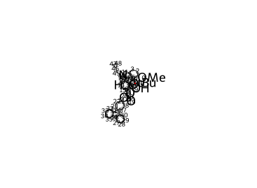 COC12CCC3(CC1C(C)(O)C(C)(C)C)C1Cc4ccc(OS(=O)OC5CCC(c6ccccc6)(c6ccccc6)CC5)c5c4C3(CCN1CC1CC1)C2O5